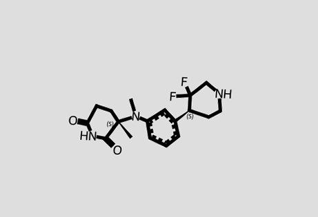 CN(c1cccc([C@@H]2CCNCC2(F)F)c1)[C@@]1(C)CCC(=O)NC1=O